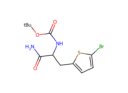 CC(C)(C)OC(=O)NC(Cc1ccc(Br)s1)C(N)=O